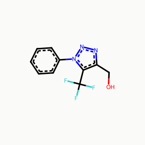 OCc1nnn(-c2ccccc2)c1C(F)(F)F